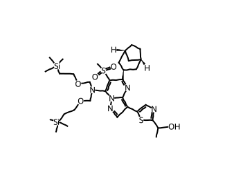 CC(O)c1ncc(-c2cnn3c(N(COCC[Si](C)(C)C)COCC[Si](C)(C)C)c(S(C)(=O)=O)c([C@H]4C[C@@H]5CC[C@@H](C5)C4)nc23)s1